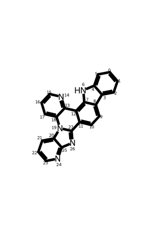 c1ccc2c(c1)[nH]c1c2ccc2c1c1ncccc1n1c3cccnc3nc21